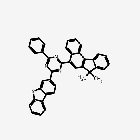 CC1(C)c2ccccc2-c2c1cc(-c1nc(-c3ccccc3)nc(-c3ccc4c(c3)sc3ccccc34)n1)c1ccccc21